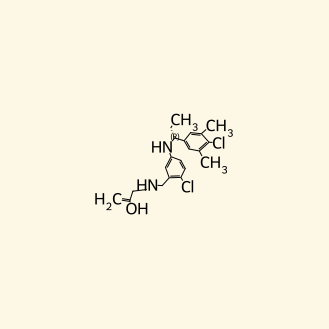 C=C(O)CCNCc1cc(N[C@H](CC)c2cc(C)c(Cl)c(C)c2)ccc1Cl